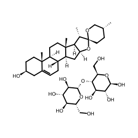 C[C@@H]1CC[C@@]2(OC1)O[C@H]1C[C@H]3[C@@H]4CC=C5C[C@@H](O)CC[C@]5(C)[C@H]4CC[C@]3(C)[C@H]1[C@@H]2C.OC[C@H]1O[C@@H](O[C@H]2[C@H](O)[C@@H](O)[C@H](O)O[C@@H]2CO)[C@H](O)[C@@H](O)[C@@H]1O